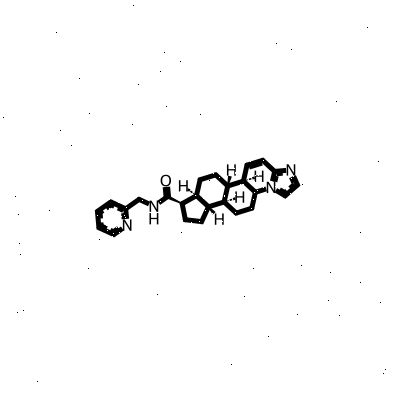 O=C(NCc1ccccn1)[C@@H]1CC[C@H]2[C@@H]3CCC4[C@H](C=Cc5nccn54)[C@H]3CC[C@@H]21